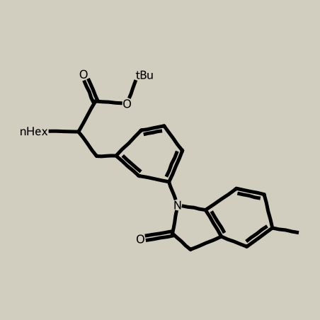 CCCCCCC(Cc1cccc(N2C(=O)Cc3cc(C)ccc32)c1)C(=O)OC(C)(C)C